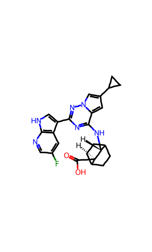 O=C(O)[C@@H]1C2CCC(CC2)[C@H]1Nc1nc(-c2c[nH]c3ncc(F)cc23)nn2cc(C3CC3)cc12